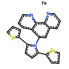 [Fe].c1csc(-c2ccc(-c3cccs3)n2-c2cc3cccnc3c3ncccc23)c1